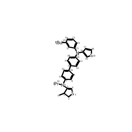 CC1CSC=C1N(c1ccc(-c2ccc(N(c3ccsc3)c3cccc(C(C)(C)C)c3)cc2)cc1)C(C)C